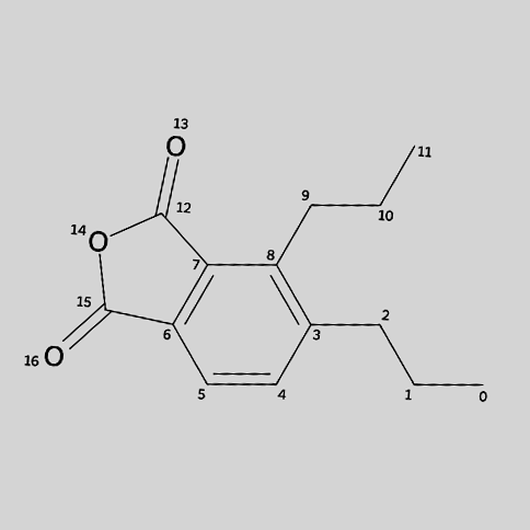 CCCc1ccc2c(c1CCC)C(=O)OC2=O